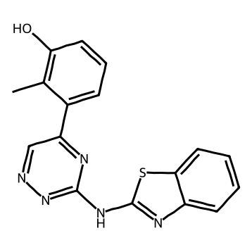 Cc1c(O)cccc1-c1cnnc(Nc2nc3ccccc3s2)n1